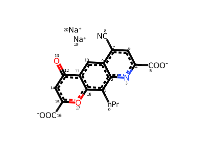 CCCc1c2nc(C(=O)[O-])cc(C#N)c2cc2c(=O)cc(C(=O)[O-])oc12.[Na+].[Na+]